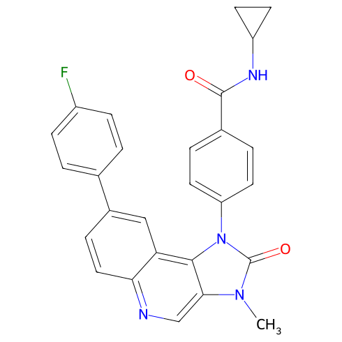 Cn1c(=O)n(-c2ccc(C(=O)NC3CC3)cc2)c2c3cc(-c4ccc(F)cc4)ccc3ncc21